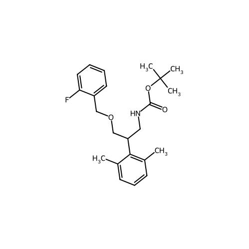 Cc1cccc(C)c1C(CNC(=O)OC(C)(C)C)COCc1ccccc1F